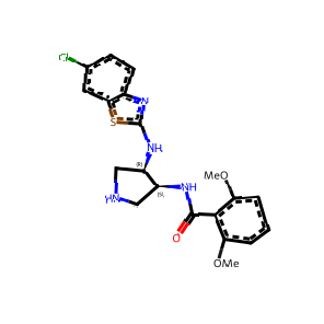 COc1cccc(OC)c1C(=O)N[C@H]1CNC[C@H]1Nc1nc2ccc(Cl)cc2s1